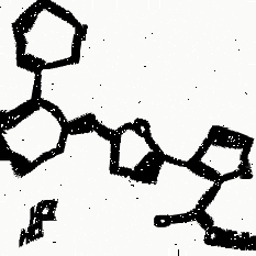 COC(=O)c1sccc1-c1ccc(C=C2CCCN=C2c2cccnc2)o1.Cl.Cl